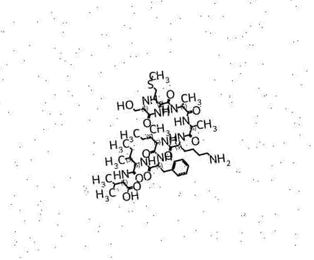 CC[C@H](C)[C@H](NC(=O)[C@H](CCCCN)NC(=O)[C@H](C)NC(=O)[C@H](C)NC(=O)[C@H](CCSC)NC(=O)[C@@H](N)CO)C(=O)N[C@@H](Cc1ccccc1)C(=O)N[C@H](C(=O)N[C@H](C(=O)O)C(C)C)[C@@H](C)CC